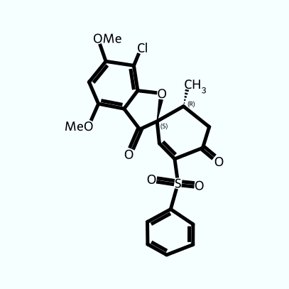 COc1cc(OC)c2c(c1Cl)O[C@@]1(C=C(S(=O)(=O)c3ccccc3)C(=O)C[C@H]1C)C2=O